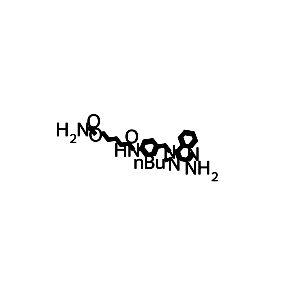 CCCCc1nc2c(N)nc3ccccc3c2n1Cc1ccc(NC(=O)CCCCOC(N)=O)cc1